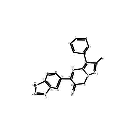 Cc1nn2c(c1-c1ccccc1)N=C(c1ccc3[nH]nnc3c1)C(=O)C2